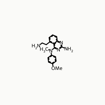 COc1ccc(N(C)c2nc(N)nc3cccc(CCN)c23)cc1